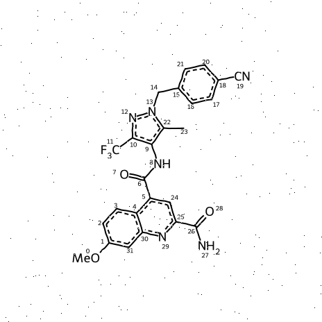 COc1ccc2c(C(=O)Nc3c(C(F)(F)F)nn(Cc4ccc(C#N)cc4)c3C)cc(C(N)=O)nc2c1